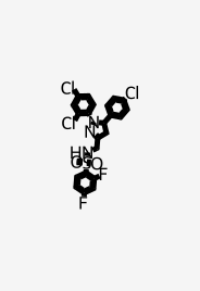 O=S(=O)(NCC1=NN(c2ccc(Cl)cc2Cl)C(c2ccc(Cl)cc2)C1)c1ccc(F)cc1F